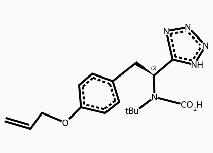 C=CCOc1ccc(C[C@@H](c2nnn[nH]2)N(C(=O)O)C(C)(C)C)cc1